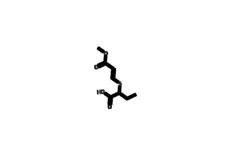 CCC(SC=CC(=O)OC)C(=O)O